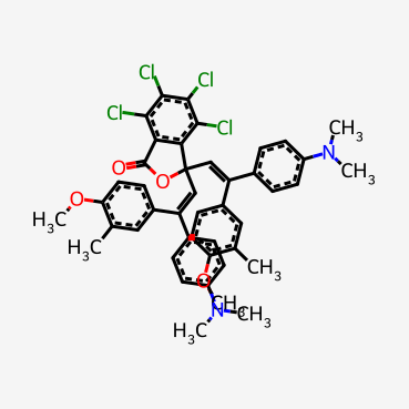 COc1ccc(/C(=C\C2(/C=C(/c3ccc(N(C)C)cc3)c3ccc(OC)c(C)c3)OC(=O)c3c(Cl)c(Cl)c(Cl)c(Cl)c32)c2ccc(N(C)C)cc2)cc1C